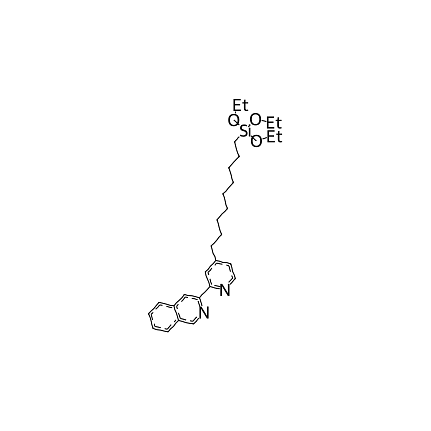 CCO[Si](CCCCCCCCCc1ccnc(-c2cc3ccccc3cn2)c1)(OCC)OCC